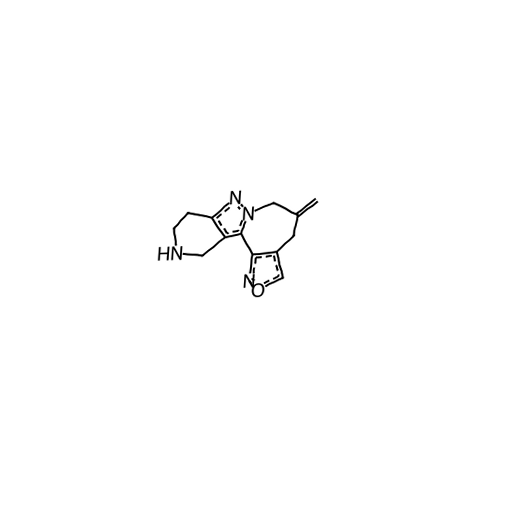 C=C1Cc2conc2-c2c3c(nn2C1)CCNC3